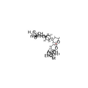 C1CCOCC1.C1CCOCC1.CC(C)=O.CCCCCC.CCO.CCOCC.C[S+](C)[O-].c1ccccc1